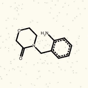 Nc1ccccc1CN1CCOCC1=O